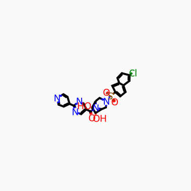 O=C(c1cnc(-c2ccncc2)nc1)N1C2CN(S(=O)(=O)c3ccc4cc(Cl)ccc4c3)CC1C(O)C2O